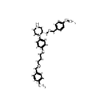 COc1ccc(COC[C@H]2CNCCN2c2ccc(OCCCOCc3ccc(C)cc3)cc2)cc1